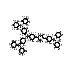 c1ccc(N(c2ccccc2)c2ccc(-c3cnc(-c4ccc(N(c5ccc(N(c6ccccc6)c6ccccc6)cc5)c5ccc(N(c6ccccc6)c6ccccc6)cc5)cc4)cn3)cc2)cc1